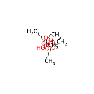 C=CC(=O)OC(C)(CCCCC)OP(=O)(O)OC(C)(CCCCC)OC(=O)C=C